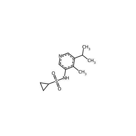 Cc1c(NS(=O)(=O)C2CC2)cncc1C(C)C